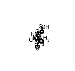 Cc1cccc(CC2CCOCC2)c1-c1nc(NS(=O)(=O)c2cccc(C(=O)O)c2)nc(Cl)c1C